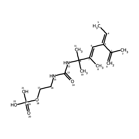 C=C(C)C(=C/C)/C=C(\C)C(C)(C)NC(=O)NCCOP(=O)(O)O